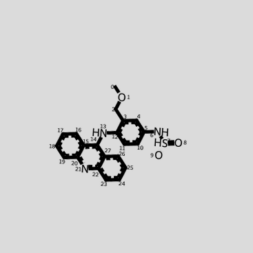 COCc1cc(N[SH](=O)=O)ccc1Nc1c2ccccc2nc2ccccc12